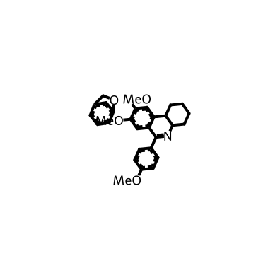 COc1ccc(C2=NC3CCCCC3c3cc(OC)c(OC)cc32)cc1.c1cc2cc(c1)OC2